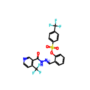 O=C(N/N=C/c1ccccc1OS(=O)(=O)c1ccc(C(F)(F)F)cc1)c1cnccc1C(F)(F)F